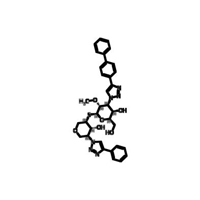 CO[C@@H]1[C@@H](n2cc(-c3ccc(-c4ccccc4)cc3)nn2)[C@@H](O)[C@@H](CO)O[C@H]1S[C@@H]1COC[C@H](n2cc(-c3ccccc3)nn2)[C@H]1O